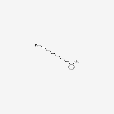 CCCCc1ccccc1CCCCCCCCCCCCCC(C)C